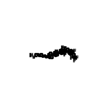 CCCOCCCC1COC(c2ccc(-c3cc(F)c(C(F)(F)Oc4ccc(OC(F)=C(F)F)c(F)c4)c(F)c3)nc2)OC1